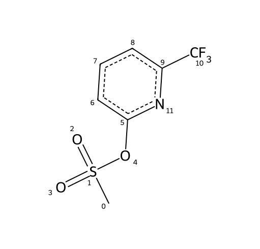 CS(=O)(=O)Oc1cccc(C(F)(F)F)n1